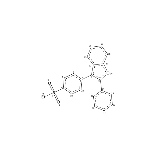 CCS(=O)(=O)c1ccc(-c2c(-c3ccccc3)oc3ccccc23)cc1